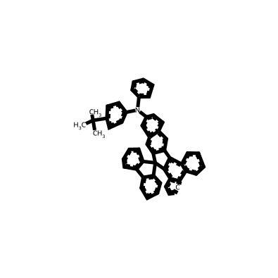 CC(C)(C)c1ccc(N(c2ccccc2)c2ccc3cc4c(cc3c2)C2(c3ccccc3-c3ccccc32)c2c-4c3ccccc3c3ccccc23)cc1